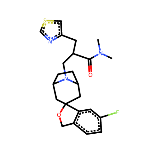 CN(C)C(=O)C(Cc1cscn1)CN1C2CCC1CC1(C2)OCc2ccc(F)cc21